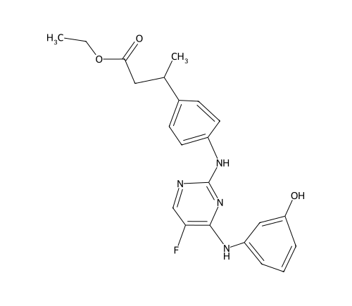 CCOC(=O)CC(C)c1ccc(Nc2ncc(F)c(Nc3cccc(O)c3)n2)cc1